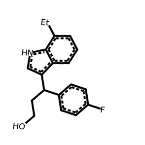 CCc1cccc2c(C(CCO)c3ccc(F)cc3)c[nH]c12